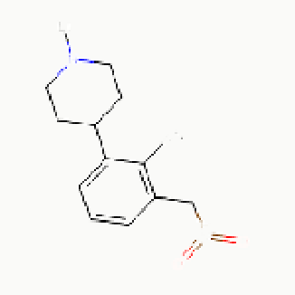 CCN1CCC(c2cccc(C[SH](=O)=O)c2C#N)CC1